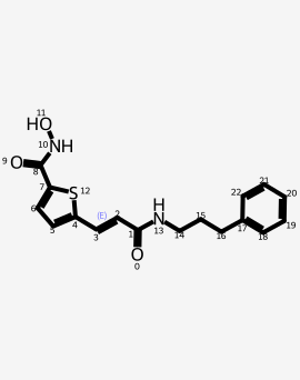 O=C(/C=C/c1ccc(C(=O)NO)s1)NCCCc1ccccc1